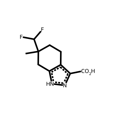 CC1(C(F)F)CCc2c(C(=O)O)n[nH]c2C1